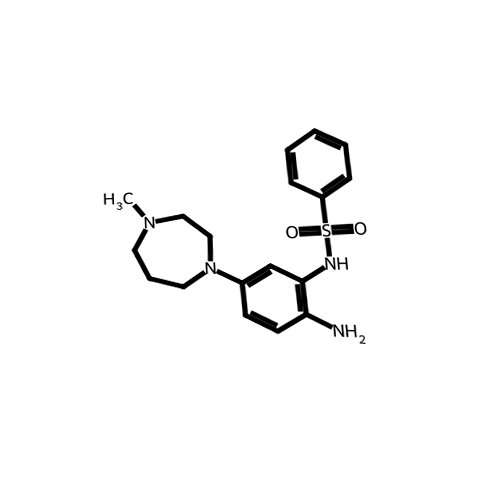 CN1CCCN(c2ccc(N)c(NS(=O)(=O)c3ccccc3)c2)CC1